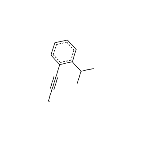 [CH2]C#Cc1ccccc1C(C)C